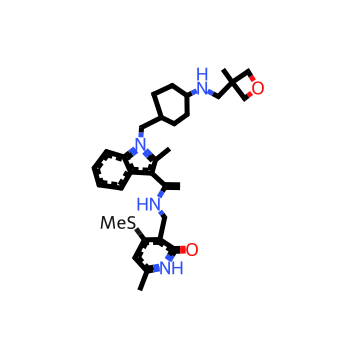 C=C(NCc1c(SC)cc(C)[nH]c1=O)c1c(C)n(CC2CCC(NCC3(C)COC3)CC2)c2ccccc12